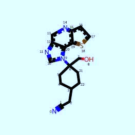 N#CCC1CCC(CO)(n2cnc3cnc4ccsc4c32)CC1